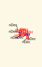 CCCCCCCCCCCCCCCC(=O)OC(CCCCCCCCCCC)CC(=O)NC1C(OP(=O)(O)O)OC(CO[C@@H]2OC(CO)C(O)[C@H](OC(=O)CC(CCCCCCCCCCC)OC(=O)CCCCCCCCCCCCCCC)C2NC(=O)CC(O)CCCCCCCCCCC)[C@@H](O)[C@@H]1OC(=O)CC(O)CCCCCCCCCCC